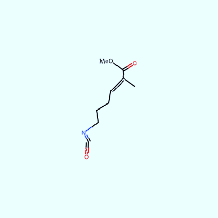 COC(=O)C(C)=CCCCN=C=O